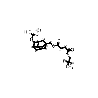 CCOC(C)OC1C2CC3CC1CC(COC(=O)CCC(=O)OCC(C)(F)F)(C3)C2